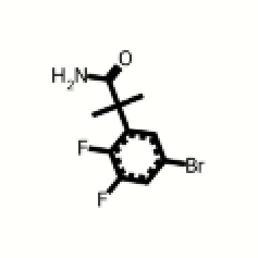 CC(C)(C(N)=O)c1cc(Br)cc(F)c1F